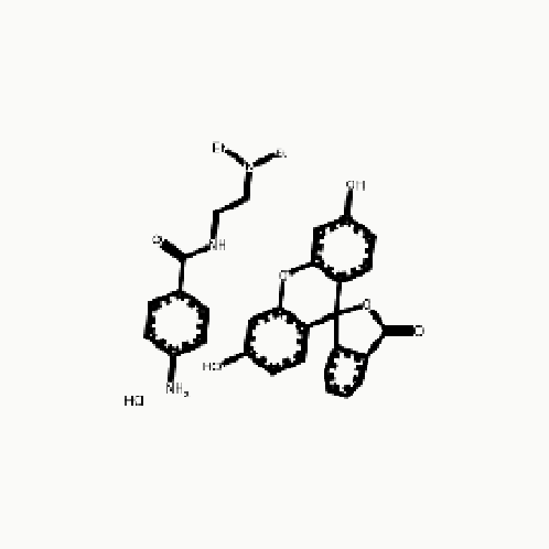 CCN(CC)CCNC(=O)c1ccc(N)cc1.Cl.O=C1OC2(c3ccc(O)cc3Oc3cc(O)ccc32)c2ccccc21